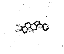 CC1=C2CCC3C4=CC=C(c5cccnc5)[C@@]4(C)CCC3[C@@]2(C)CCC1O